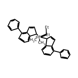 CC[C](CC)=[Hf]([CH3])([CH3])([CH]1C=Cc2c(-c3ccccc3)cccc21)[CH]1C=Cc2c(-c3ccccc3)cccc21